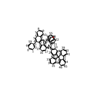 c1ccc(-c2cc3ccccc3c3c2c2cccc(N(c4ccccc4)c4ccc(C5(c6ccccc6)c6ccccc6-c6ccccc65)cc4)c2n3-c2ccccc2)cc1